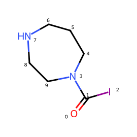 O=C(I)N1CCCNCC1